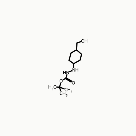 CC(C)(C)OC(=O)NNC1CCC(CO)CC1